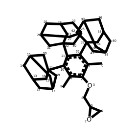 Cc1c(OCC2CO2)c(C)c(C23CC4CC(CC(C4)C2)C3)c(C23CC4CC(CC(C4)C2)C3)c1C12CC3CC(CC(C3)C1)C2